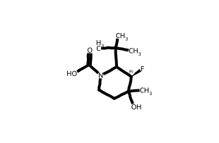 CC(C)(C)C1[C@@H](F)C(C)(O)CCN1C(=O)O